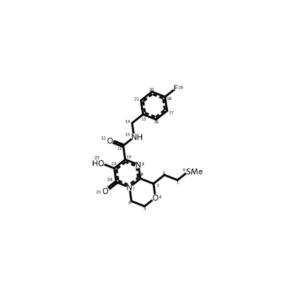 CSCCC1OCCn2c1nc(C(=O)NCc1ccc(F)cc1)c(O)c2=O